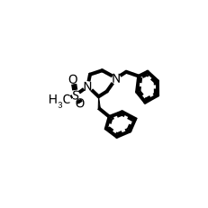 CS(=O)(=O)N1CCN(Cc2ccccc2)C[C@H]1Cc1ccccc1